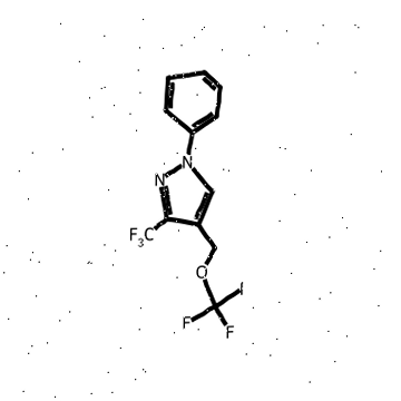 FC(F)(I)OCc1cn(-c2ccccc2)nc1C(F)(F)F